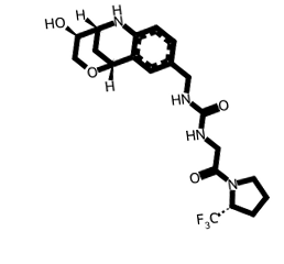 O=C(NCC(=O)N1CCC[C@@H]1C(F)(F)F)NCc1ccc2c(c1)[C@H]1C[C@@H](N2)[C@H](O)CO1